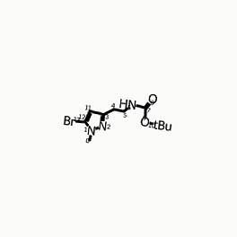 Cn1nc(CCNC(=O)OC(C)(C)C)cc1Br